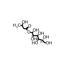 CC(O)CC(=O)OC(O)[C@H](O)[C@@H](O)[C@H](O)[C@H](O)CO